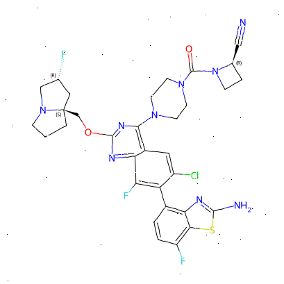 N#C[C@H]1CCN1C(=O)N1CCN(c2nc(OC[C@@]34CCCN3C[C@H](F)C4)nc3c(F)c(-c4ccc(F)c5sc(N)nc45)c(Cl)cc23)CC1